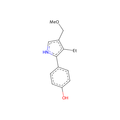 CCc1c(COC)c[nH]c1-c1ccc(O)cc1